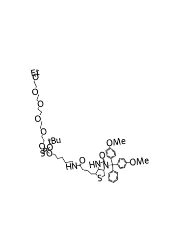 CCOCCOCCOCCOCCOCCOP(=S)(OCCCCCNC(=O)CCCC1SCC2C1NC(=O)N2C(c1ccccc1)(c1ccc(OC)cc1)c1ccc(OC)cc1)OC(C)(C)C